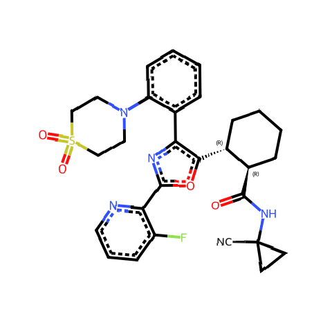 N#CC1(NC(=O)[C@@H]2CCCC[C@H]2c2oc(-c3ncccc3F)nc2-c2ccccc2N2CCS(=O)(=O)CC2)CC1